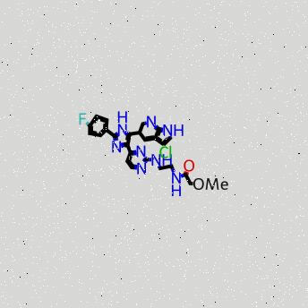 COCC(=O)NCCNc1nccc(-c2nc(-c3ccc(F)cc3)[nH]c2C2C=c3c(Cl)c[nH]c3=NC2)n1